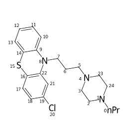 CCCN1CCN(CCCN2c3ccccc3Sc3ccc(Cl)cc32)CC1